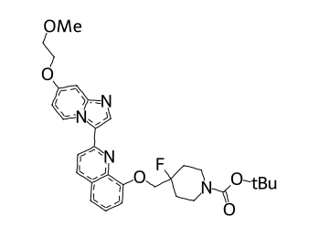 COCCOc1ccn2c(-c3ccc4cccc(OCC5(F)CCN(C(=O)OC(C)(C)C)CC5)c4n3)cnc2c1